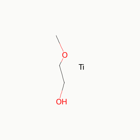 COCCO.[Ti]